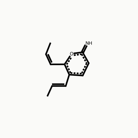 C/C=C\c1oc(=N)ccc1/C=C/C